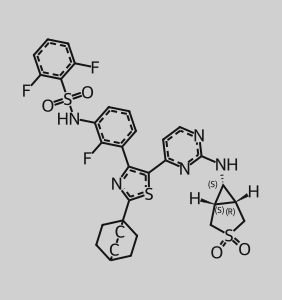 O=S1(=O)C[C@@H]2[C@H](C1)[C@@H]2Nc1nccc(-c2sc(C34CCC(CC3)CC4)nc2-c2cccc(NS(=O)(=O)c3c(F)cccc3F)c2F)n1